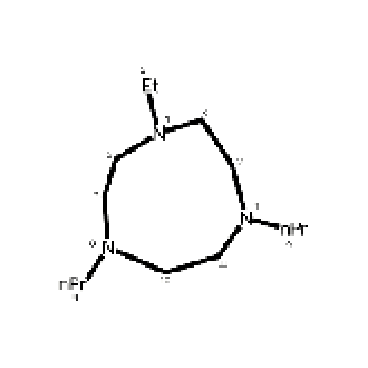 CCCN1CCN(CC)CCN(CCC)CC1